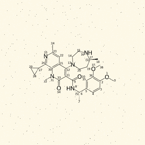 COc1ccc([C@H](C)NC(=O)c2c(N3CCN[C@@H](C)CC3)c3cc(C)nc(C4CC4)c3n(C)c2=O)cc1OC